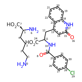 NCCCC[C@H](N)C(=O)O.O=C(NC(Cc1cc(=O)[nH]c2ccccc12)C(=O)O)c1ccc(Cl)cc1